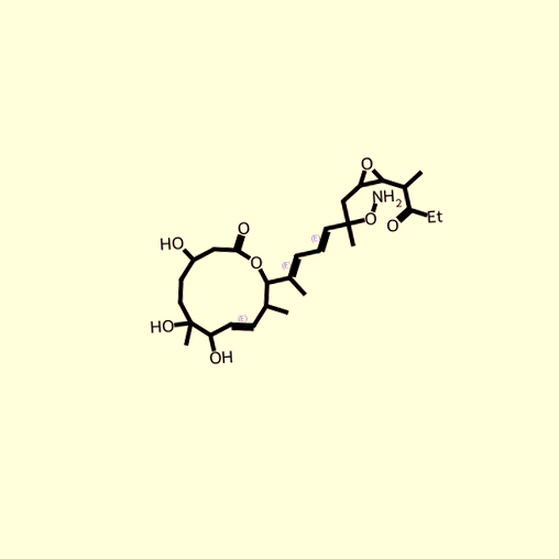 CCC(=O)C(C)C1OC1CC(C)(/C=C/C=C(\C)C1OC(=O)CC(O)CCC(C)(O)C(O)/C=C/C1C)ON